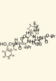 CCCC(NC(=O)C1[C@H]2CCC(F)(F)[C@H]2CN1C(=O)[C@@H](NC(=O)OC(C)C)C(C)(C)C)C(=O)C(=O)N[C@H](Cc1ccccc1)C(=O)O